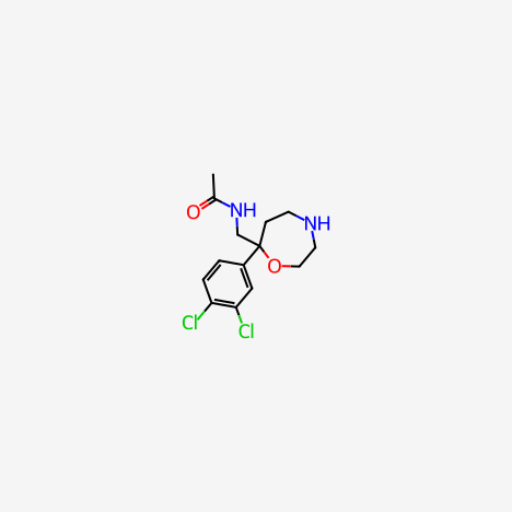 CC(=O)NCC1(c2ccc(Cl)c(Cl)c2)CCNCCO1